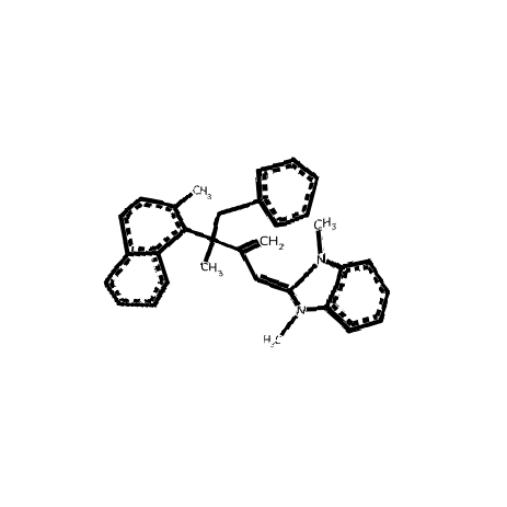 C=C(C=C1N(C)c2ccccc2N1C)C(C)(Cc1ccccc1)c1c(C)ccc2ccccc12